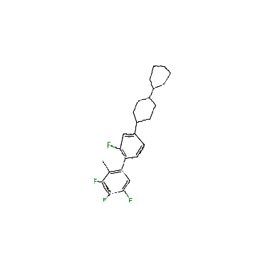 Cc1c(-c2ccc(C3CCC(C4CCCCC4)CC3)cc2F)cc(F)c(F)c1F